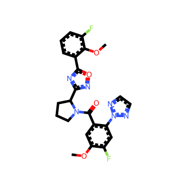 COc1cc(C(=O)N2CCCC2c2noc(-c3cccc(F)c3OC)n2)c(-n2nccn2)cc1F